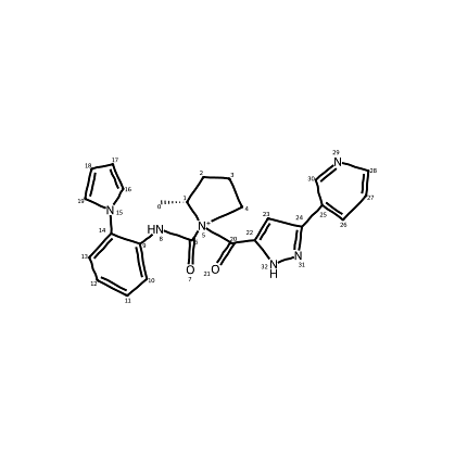 C[C@@H]1CCC[N+]1(C(=O)Nc1ccccc1-n1cccc1)C(=O)c1cc(-c2cccnc2)n[nH]1